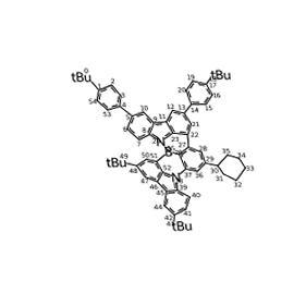 CC(C)(C)c1ccc(-c2ccc3c(c2)c2cc(-c4ccc(C(C)(C)C)cc4)cc4c2n3B2c3c-4cc(C4CCCCC4)cc3-n3c4ccc(C(C)(C)C)cc4c4cc(C(C)(C)C)cc2c43)cc1